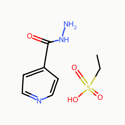 CCS(=O)(=O)O.NNC(=O)c1ccncc1